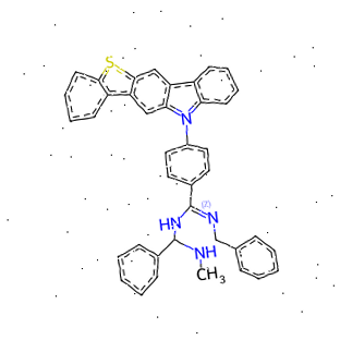 CNC(N/C(=N\Cc1ccccc1)c1ccc(-n2c3ccccc3c3cc4sc5ccccc5c4cc32)cc1)c1ccccc1